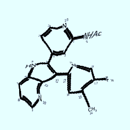 CC(=O)Nc1cc(-c2[nH]c3cccnc3c2-c2cc(C)c(F)cn2)ccn1